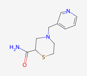 NC(=O)C1CN(Cc2cccnc2)CCS1